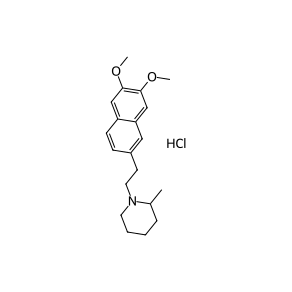 COc1cc2ccc(CCN3CCCCC3C)cc2cc1OC.Cl